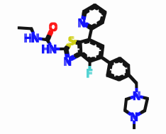 CCNC(=O)Nc1nc2c(F)c(-c3ccc(CN4CCN(C)CC4)cc3)cc(-c3ccccn3)c2s1